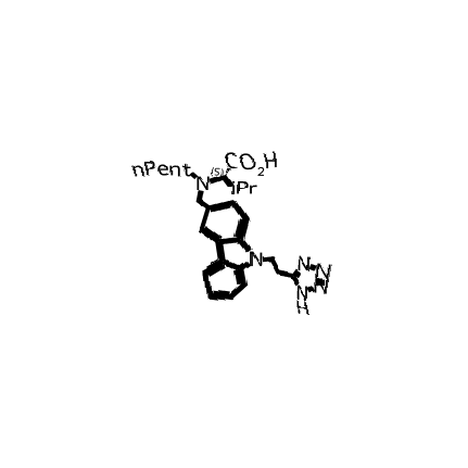 CCCCCN(Cc1ccc2c(c1)c1ccccc1n2CCc1nnn[nH]1)[C@H](C(=O)O)C(C)C